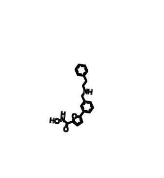 O=C(NO)c1ccc(-c2cccc(CNCCc3ccccc3)c2)o1